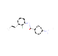 CN(C)c1ccc(C(=O)Nc2cccc(/C=C/[N+](=O)[O-])c2F)cc1